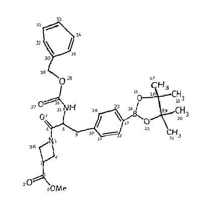 COC(=O)C1CN(C(=O)C(Cc2ccc(B3OC(C)(C)C(C)(C)O3)cc2)NC(=O)OCc2ccccc2)C1